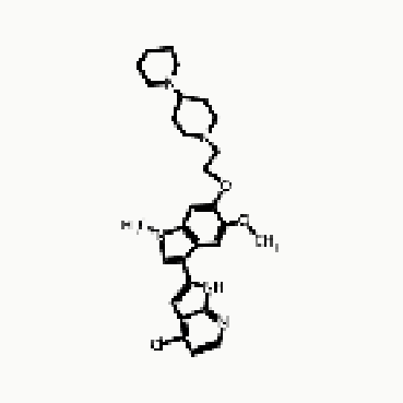 COc1cc2c(-c3cc4c(Cl)ccnc4[nH]3)cn(C)c2cc1OCCN1CCC(N2CCCCC2)CC1